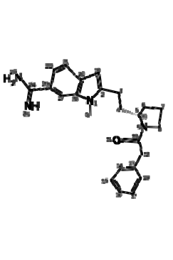 Cn1c(CC[C@@H]2CCCN2C(=O)Cc2ccccc2)cc2ccc(C(=N)N)cc21